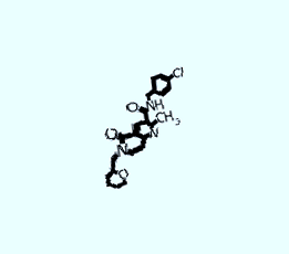 Cc1nc2ccn(CC3CCCCO3)c(=O)c2cc1C(=O)NCc1ccc(Cl)cc1